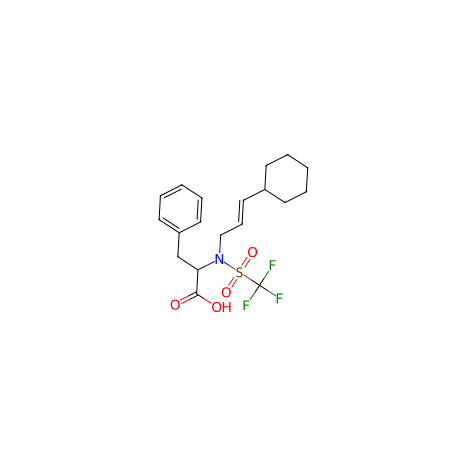 O=C(O)C(Cc1ccccc1)N(C/C=C/C1CCCCC1)S(=O)(=O)C(F)(F)F